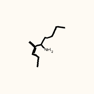 CC/C=C(/C)C(N)CCCC